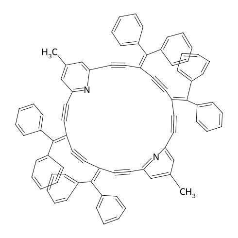 Cc1cc2c#cc(=C(c3ccccc3)c3ccccc3)c#cc(=C(c3ccccc3)c3ccccc3)c#cc3cc(C)cc(c#cc(=C(c4ccccc4)c4ccccc4)c#cc(=C(c4ccccc4)c4ccccc4)c#cc(c1)n2)n3